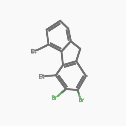 CCc1cccc2c1-c1c([c]c(Br)c(Br)c1CC)C2